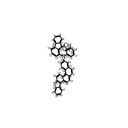 CC1(C)c2ccccc2-c2cccc(N(c3ccccc3)c3ccc4c(ccc5ccc6c(ccc7sc8ccccc8c76)c54)c3)c21